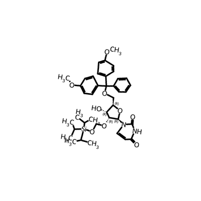 COc1ccc(C(OC[C@H]2O[C@@H](n3ccc(=O)[nH]c3=O)[C@H](OCO[Si](C(C)C)(C(C)C)C(C)C)[C@@H]2O)(c2ccccc2)c2ccc(OC)cc2)cc1